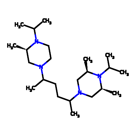 CC(CCC(C)N1CCN(C(C)C)[C@@H](C)C1)N1C[C@@H](C)N(C(C)C)[C@H](C)C1